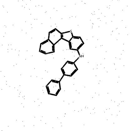 c1ccc(-c2ccc(Nc3ccc4sc5ccc6ccccc6c5c4c3)cc2)cc1